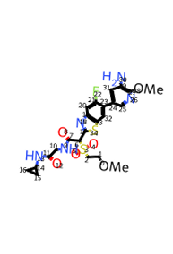 COCCS(=O)(=O)C(C(=O)NCC(=O)NC1CC1)c1nc2cc(F)c(-c3cnc(OC)c(N)c3)cc2s1